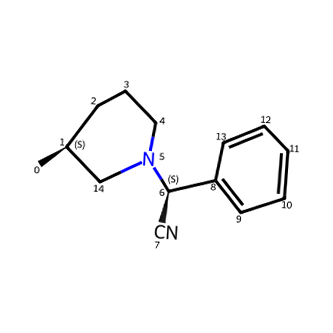 C[C@H]1CCCN([C@H](C#N)c2ccccc2)C1